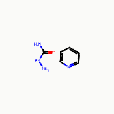 NNC(N)=O.c1ccncc1